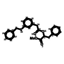 COC(=O)C(Cc1ccccc1)OC(=O)Cc1cccc(SCc2ccccc2)c1